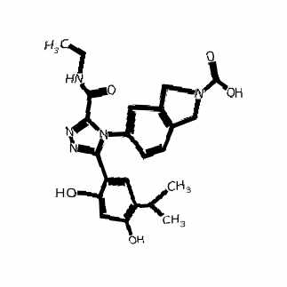 CCNC(=O)c1nnc(-c2cc(C(C)C)c(O)cc2O)n1-c1ccc2c(c1)CN(C(=O)O)C2